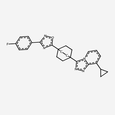 Fc1ccc(-c2noc(C34CCC(c5nnc6c(C7CC7)cccn56)(CC3)CC4)n2)cc1